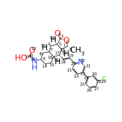 C[C@H]1OC(=O)[C@@H]2C[C@@H]3C[C@H](NC(=O)O)CC[C@H]3[C@H](/C=C/c3ccc(-c4cccc(F)c4)cn3)[C@H]12